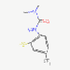 CN(C)C(=O)Nc1ccc(C(F)(F)F)cc1S